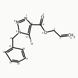 C=CCOC(=O)c1nnn(Cc2ccccc2)c1I